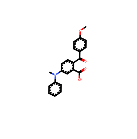 COc1ccc(C(=O)c2ccc(N(C)c3ccccc3)cc2C(=O)O)cc1